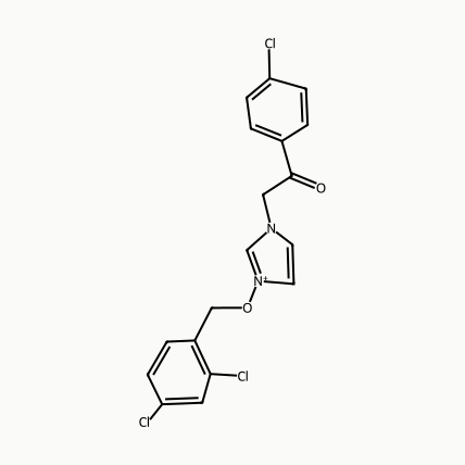 O=C(Cn1cc[n+](OCc2ccc(Cl)cc2Cl)c1)c1ccc(Cl)cc1